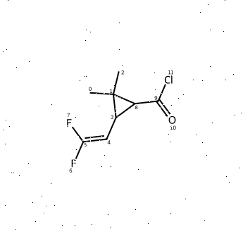 CC1(C)C(C=C(F)F)C1C(=O)Cl